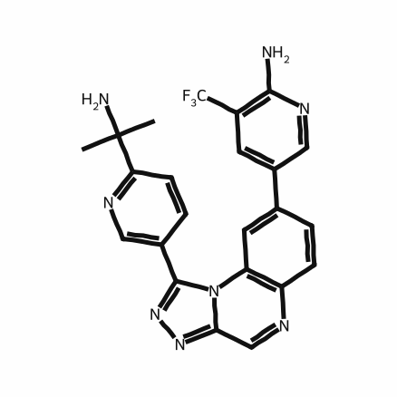 CC(C)(N)c1ccc(-c2nnc3cnc4ccc(-c5cnc(N)c(C(F)(F)F)c5)cc4n23)cn1